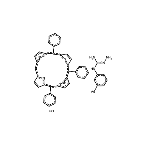 C1=Cc2nc1cc1ccc([nH]1)c(-c1ccccc1)c1nc(c(-c3ccccc3)c3ccc([nH]3)c2-c2ccccc2)C=C1.Cl.NN=C(N)Nc1ccc[c]([Au])c1